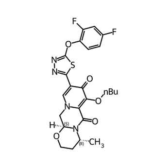 CCCCOc1c2n(cc(-c3nnc(Oc4ccc(F)cc4F)s3)c1=O)C[C@@H]1OCC[C@@H](C)N1C2=O